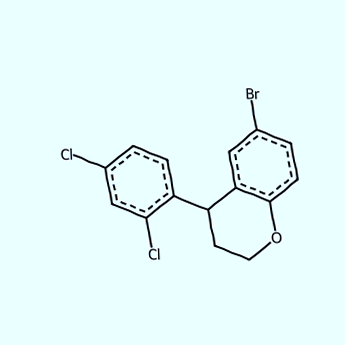 Clc1ccc(C2CCOc3ccc(Br)cc32)c(Cl)c1